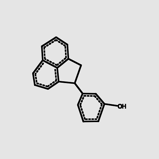 Oc1cccc(C2Cc3cccc4cccc2c34)c1